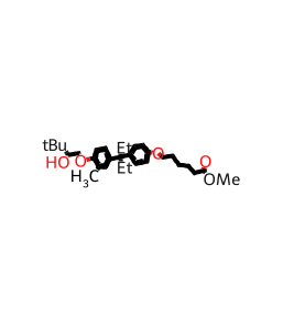 CCC(CC)(c1ccc(OCCCCCC(=O)OC)cc1)c1ccc(OCC(O)C(C)(C)C)c(C)c1